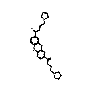 O=C(CCCN1CCCC1)c1ccc2c(c1)Cc1cc(C(=O)CCCN3CCCC3)ccc1O2